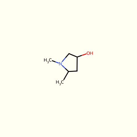 CC1CC(O)CN1C